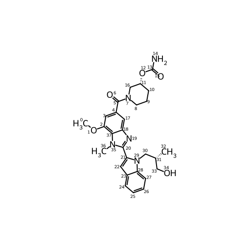 COc1cc(C(=O)N2CCC[C@@H](OC(N)=O)C2)cc2nc(-c3cc4ccccc4n3C[C@H](C)CO)n(C)c12